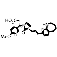 COc1ccc([C@H](CC(=O)O)n2ccn(CCCc3ccc4c(n3)NCCCC4)c2=O)cn1